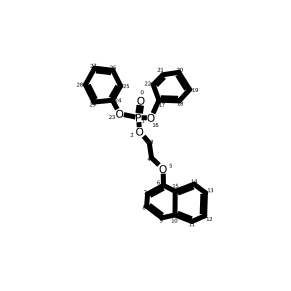 O=P(OCCOc1cccc2ccccc12)(Oc1ccccc1)Oc1ccccc1